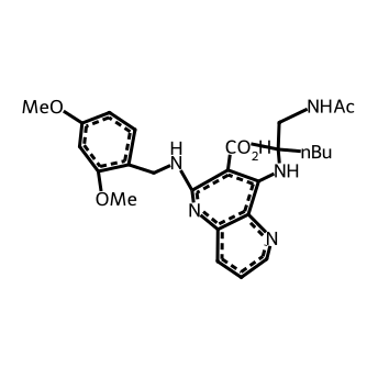 CCCCC(C)(CNC(C)=O)Nc1c(C(=O)O)c(NCc2ccc(OC)cc2OC)nc2cccnc12